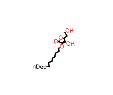 CCCCCCCCCCCCCCCCCCOC1=C(O)C(CCO)OC1=O